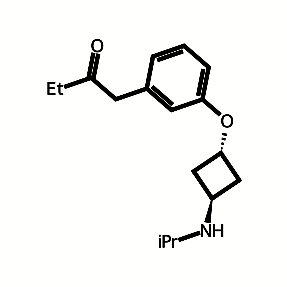 CCC(=O)Cc1cccc(O[C@H]2C[C@H](NC(C)C)C2)c1